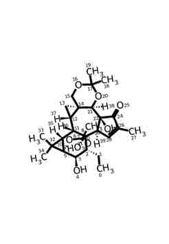 CC[C@@H]1[C@@H](O)[C@]2(OC(C)=O)[C@@H]([C@@H]3[C@@H]4C[C@@]45COC(C)(C)O[C@H]5[C@]4(O)C(=O)C(C)=C[C@H]4[C@]31O)C2(C)C